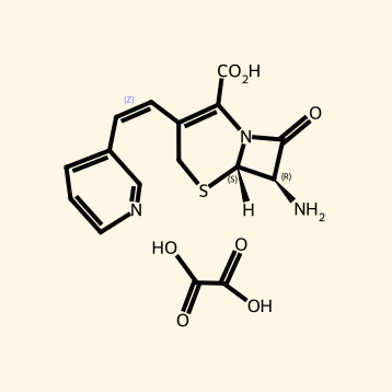 N[C@@H]1C(=O)N2C(C(=O)O)=C(/C=C\c3cccnc3)CS[C@@H]12.O=C(O)C(=O)O